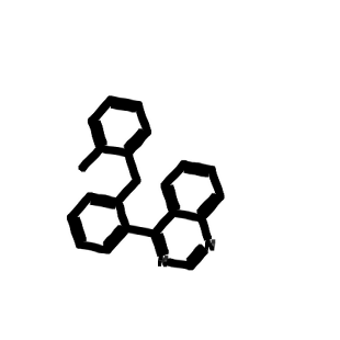 Cc1ccccc1Cc1ccccc1-c1ncnc2ccccc12